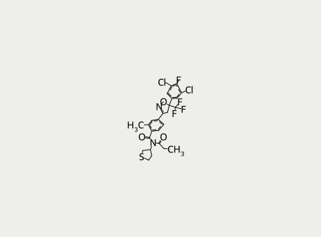 CCC(=O)N(C(=O)c1ccc(C2=NOC(c3cc(Cl)c(F)c(Cl)c3)(C(F)(F)F)C2)cc1C)C1CCSC1